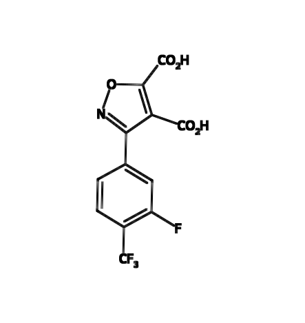 O=C(O)c1onc(-c2ccc(C(F)(F)F)c(F)c2)c1C(=O)O